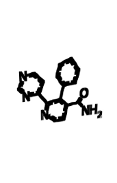 NC(=O)c1ccnc(-c2ccncn2)c1-c1ccccc1